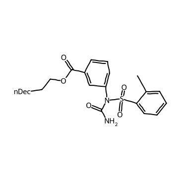 CCCCCCCCCCCCOC(=O)c1cccc(N(C(N)=O)S(=O)(=O)c2ccccc2C)c1